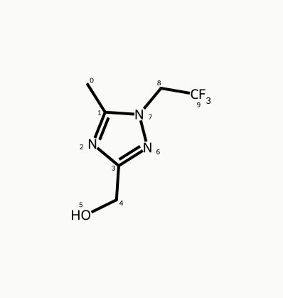 Cc1nc(CO)nn1CC(F)(F)F